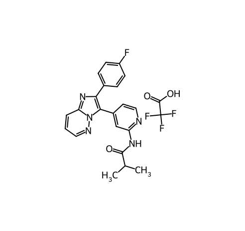 CC(C)C(=O)Nc1cc(-c2c(-c3ccc(F)cc3)nc3cccnn23)ccn1.O=C(O)C(F)(F)F